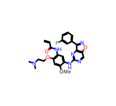 C=CC(=O)Nc1cc(Nc2ncc3onc(-c4cccc(F)c4)c3n2)c(OC)cc1OCCN(C)C